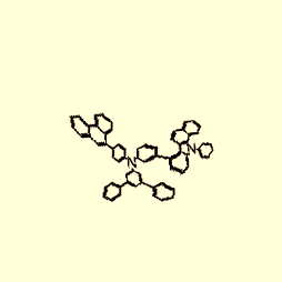 C1=CC(n2c3cccc(-c4cccc(N(c5ccc(-c6cc7ccccc7c7ccccc67)cc5)c5cc(-c6ccccc6)cc(-c6ccccc6)c5)c4)c3c3ccc4ccccc4c32)=CCC1